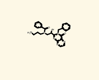 CC(C)C(CN(CCCN)C(=O)c1ccccc1)c1nc2nccnc2c(=O)n1Cc1ccccc1